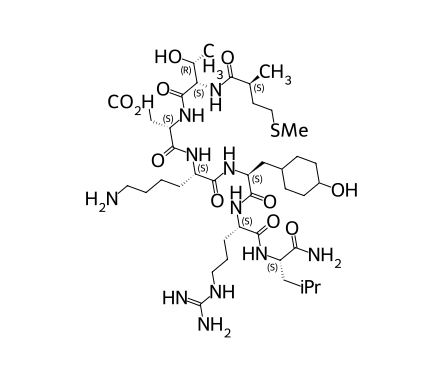 CSCC[C@H](C)C(=O)N[C@H](C(=O)N[C@@H](CC(=O)O)C(=O)N[C@@H](CCCCN)C(=O)N[C@@H](CC1CCC(O)CC1)C(=O)N[C@@H](CCCNC(=N)N)C(=O)N[C@@H](CC(C)C)C(N)=O)[C@@H](C)O